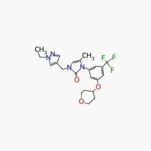 CCn1cc(Cn2cc(C)n(-c3cc(OC4CCOCC4)cc(C(F)(F)F)c3)c2=O)cn1